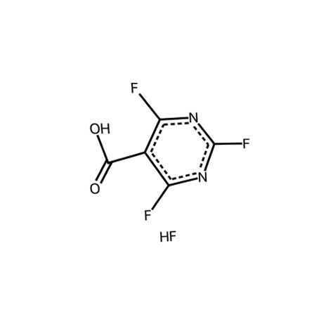 F.O=C(O)c1c(F)nc(F)nc1F